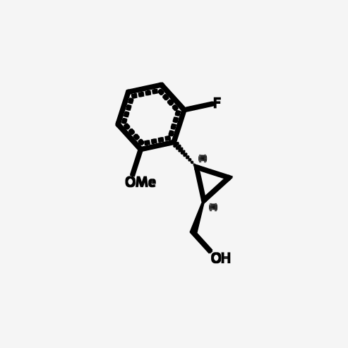 COc1cccc(F)c1[C@@H]1C[C@H]1CO